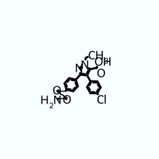 CCn1nc(-c2ccc(S(N)(=O)=O)cc2)c(-c2ccc(Cl)cc2)c1C(=O)O